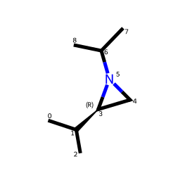 CC(C)[C@@H]1CN1C(C)C